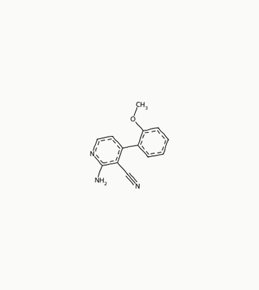 COc1ccccc1-c1ccnc(N)c1C#N